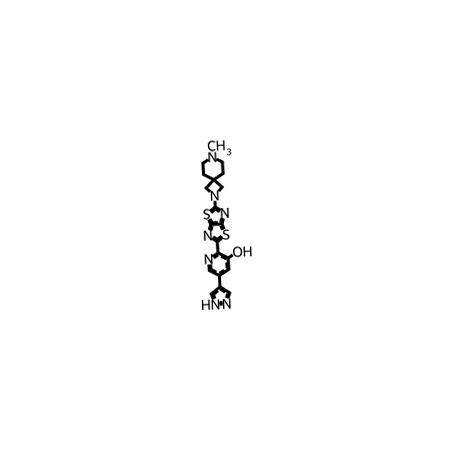 CN1CCC2(CC1)CN(c1nc3sc(-c4ncc(-c5cn[nH]c5)cc4O)nc3s1)C2